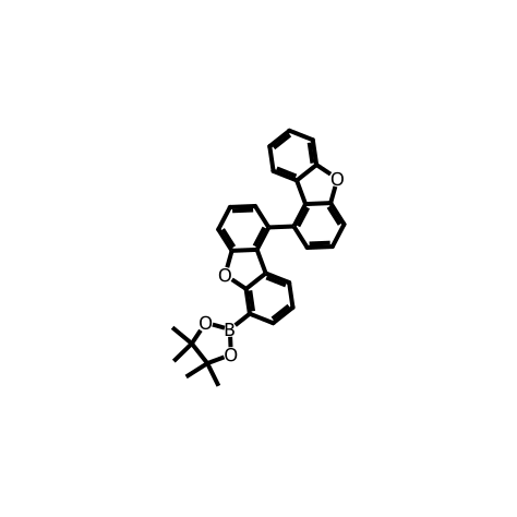 CC1(C)OB(c2cccc3c2oc2cccc(-c4cccc5oc6ccccc6c45)c23)OC1(C)C